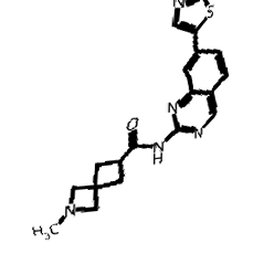 CN1CC2(CC(C(=O)Nc3ncc4ccc(-c5cncs5)cc4n3)C2)C1